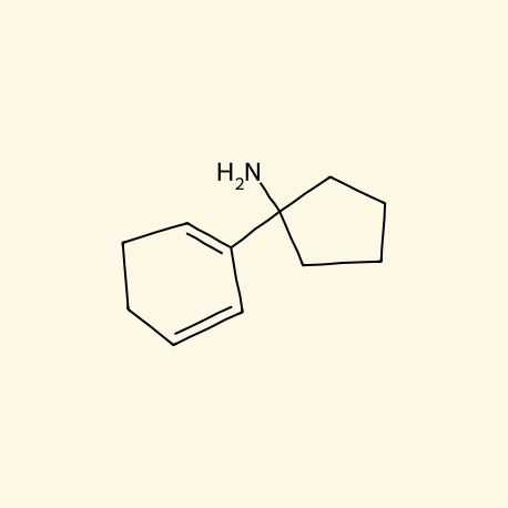 NC1(C2=CCCC=C2)CCCC1